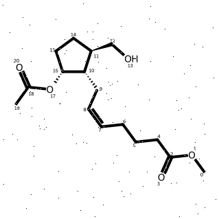 COC(=O)CCC/C=C\C[C@H]1[C@H](CO)CC[C@H]1OC(C)=O